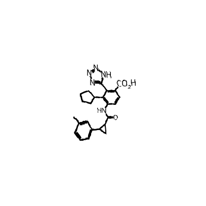 Cc1cccc(C2CC2C(=O)Nc2ccc(C(=O)O)c(-c3nnn[nH]3)c2C2CCCC2)c1